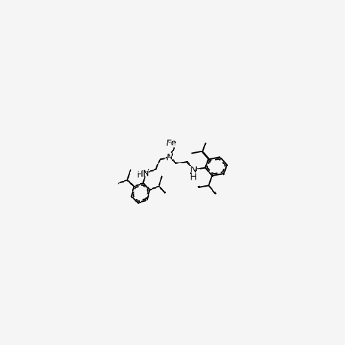 CC(C)c1cccc(C(C)C)c1NCCN(C)CCNc1c(C(C)C)cccc1C(C)C.[Fe]